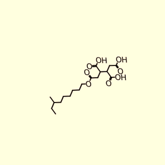 CCC(C)CCCCCCOC(=O)CC(C(=O)O)C(CC(=O)O)C(=O)O